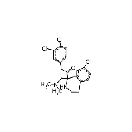 CN(C)CC1(C(=O)Cc2ccc(Cl)c(Cl)c2)NCCc2ccc(Cl)cc21